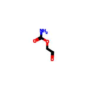 NC(=O)OCC=O